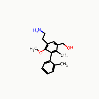 COc1c(CCN)cc(CO)c(C)c1-c1ccccc1C